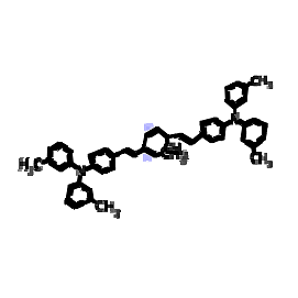 C/C=C(C=Cc1ccc(N(c2cccc(C)c2)c2cccc(C)c2)cc1)\C=C/C(C)C=Cc1ccc(N(c2cccc(C)c2)c2cccc(C)c2)cc1